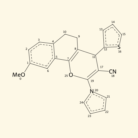 COc1ccc2c(c1)C1=C(CC2)C(c2cccs2)C(C#N)=C(n2cccc2)O1